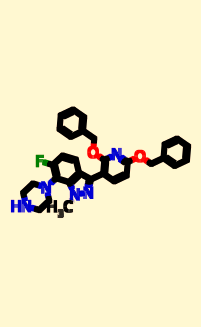 Cn1nc(-c2ccc(OCc3ccccc3)nc2OCc2ccccc2)c2ccc(F)c(N3CCNCC3)c21